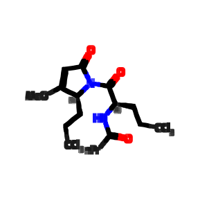 CCCC(=O)N[C@H](CCC(Cl)(Cl)Cl)C(=O)N1C(=O)C=C(OC)[C@@H]1CCC(Cl)(Cl)Cl